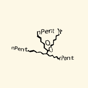 CCCCCC=CCCCC(CCCC=CCCCCC)C(CCCC=CCCCCC)OC(=O)CCCCCN(C)C